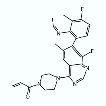 C=CC(=O)N1CCN(c2ncnc3c(F)c(-c4ccc(F)c(C)c4/N=C\C)c(C)cc23)CC1